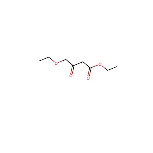 CCOCC(=O)CC(=O)OCC